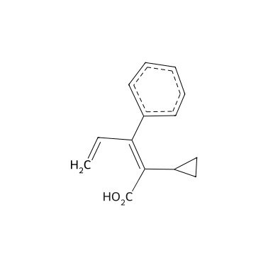 C=CC(=C(C(=O)O)C1CC1)c1ccccc1